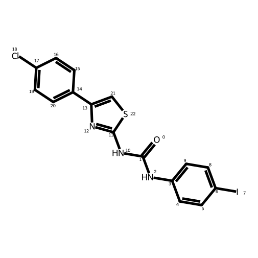 O=C(Nc1ccc(I)cc1)Nc1nc(-c2ccc(Cl)cc2)cs1